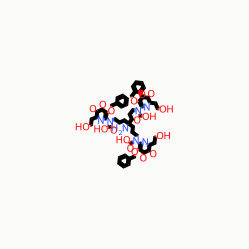 NC(CCCN(C(=O)O)C1=C(OCc2ccccc2)C(=O)C(=O)C(CCO)=N1)(CCCN(C(=O)O)C1=C(OCc2ccccc2)C(=O)C(=O)C(CCO)=N1)CCCN(C(=O)O)C1=C(OCc2ccccc2)C(=O)C(=O)C(CCO)=N1